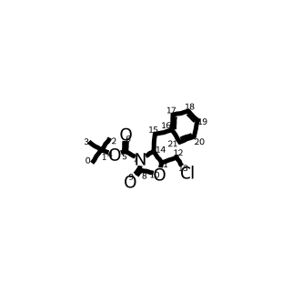 CC(C)(C)OC(=O)N1C(=O)OC(CCl)C1Cc1ccccc1